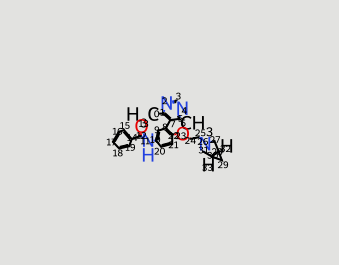 Cc1ncnc(C)c1-c1cc(NC(=O)c2ccccc2)ccc1OCCN1C[C@H]2C[C@H]2C1